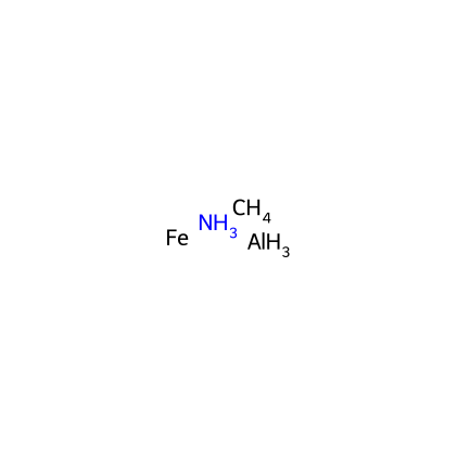 C.N.[AlH3].[Fe]